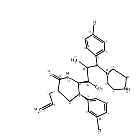 C=CC[C@H]1C[C@H](c2cccc(Cl)c2)[C@H](C(C)C(C)C(c2ccc(Cl)cc2)N2CCNCC2)NC1=O